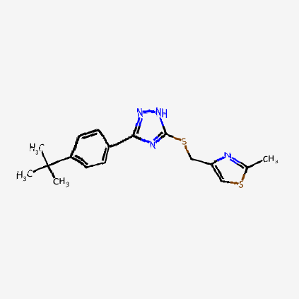 Cc1nc(CSc2nc(-c3ccc(C(C)(C)C)cc3)n[nH]2)cs1